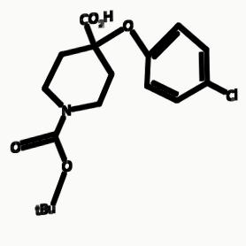 CC(C)(C)OC(=O)N1CCC(Oc2ccc(Cl)cc2)(C(=O)O)CC1